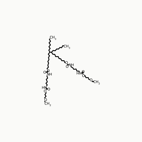 C=COCCCCOC(=O)NCCCCCCNC(=O)OCCCCCCCCCC(CCCCCCCC)C(CCCCCCCC)CCCCCCCCCOC(=O)NCCCCCCNC(=O)OCCCCOC=C